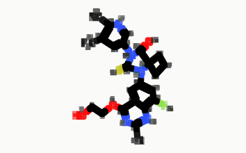 CCc1nc(OCCO)c2cc(N3C(=S)N(c4cnc(C#N)c(C(F)(F)F)c4)C(=O)C34CCC4)cc(F)c2n1